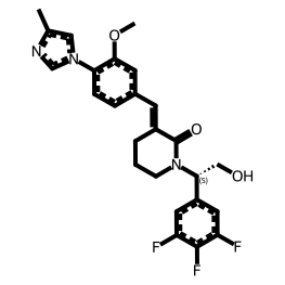 COc1cc(C=C2CCCN([C@H](CO)c3cc(F)c(F)c(F)c3)C2=O)ccc1-n1cnc(C)c1